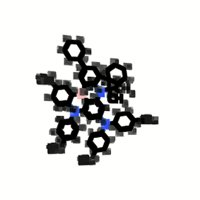 CC(C)(C)C1=CC=C(N(c2cc3c4c(c2)N2C5=C(C=C(C6CCCCC6)CC5C5(CCCCC5)C2(C)C)B4C2CC(C(C)(C)C)CC=C2N3c2ccc(C(C)(C)C)cc2)C2C=CC(C(C)(C)C)CC2)CC1